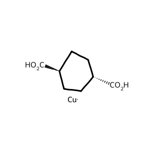 O=C(O)[C@H]1CC[C@H](C(=O)O)CC1.[Cu]